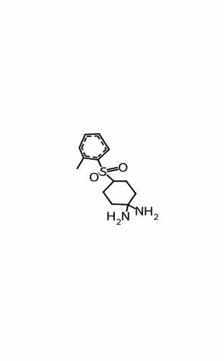 Cc1ccccc1S(=O)(=O)C1CCC(N)(N)CC1